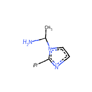 CC(C)c1nccn1C(C)N